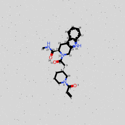 C=CC(=O)N1CCC[C@H](CC(=O)N2Cc3[nH]c4ccccc4c3C[C@@H]2C(=O)NC)C1